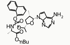 CCCCOC(=O)[C@H](C)NP(=O)(Oc1cccc2ccccc12)OC(C)[C@@H]1C[C@H](C)[C@H](n2ccc3c(N)ncnc32)O1